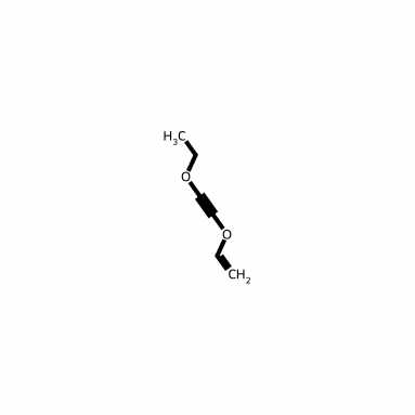 C=COC#COCC